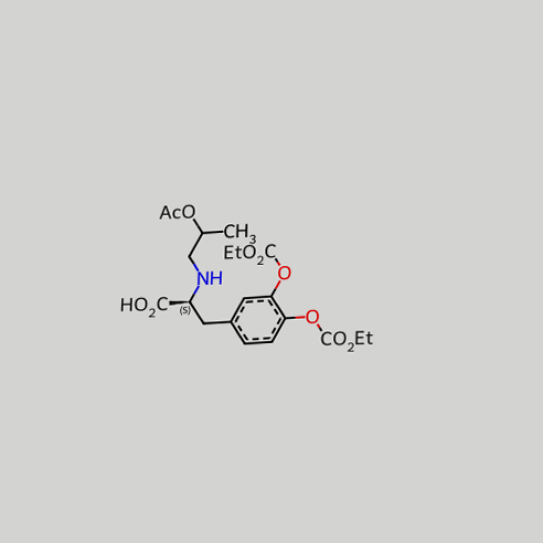 CCOC(=O)Oc1ccc(C[C@H](NCC(C)OC(C)=O)C(=O)O)cc1OC(=O)OCC